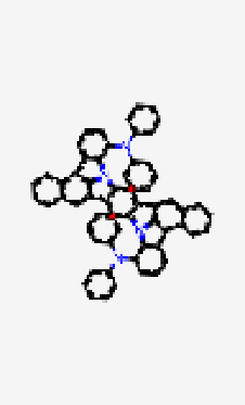 c1ccc(N(c2ccccc2)c2cccc3c4c5ccccc5cc5c6cc7c(cc6n(c23)c54)c2cc3ccccc3c3c4cccc(N(c5ccccc5)c5ccccc5)c4n7c23)cc1